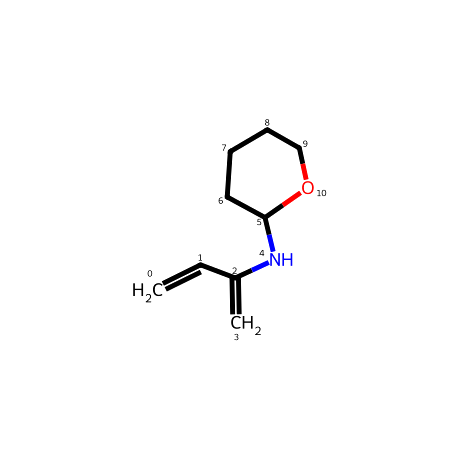 C=CC(=C)NC1CCCCO1